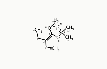 CCC(CC)=C(OC)O[Si](C)(C)C